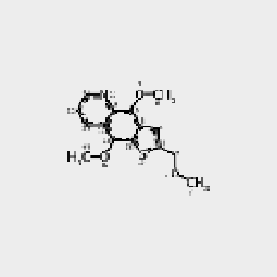 COCc1cc2c(OC)c3ncccc3c(OC)c2s1